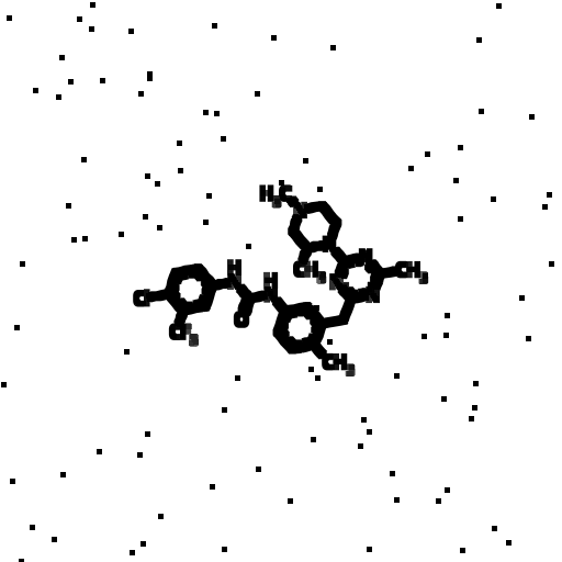 Cc1nc(Cc2cc(NC(=O)Nc3ccc(Cl)c(C(F)(F)F)c3)ccc2C)nc(N2CCN(C)CC2C)n1